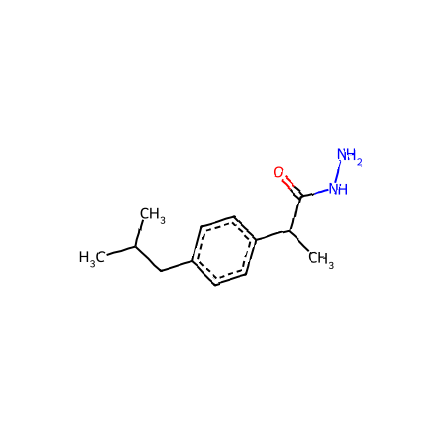 CC(C)Cc1ccc(C(C)C(=O)NN)cc1